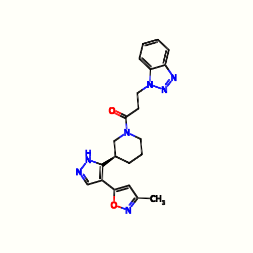 Cc1cc(-c2cn[nH]c2[C@@H]2CCCN(C(=O)CCn3nnc4ccccc43)C2)on1